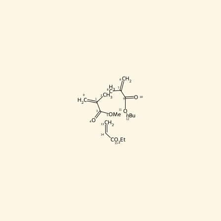 C=C(C)C(=O)OC.C=C(C)C(=O)OCCCC.C=CC(=O)OCC